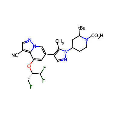 Cc1c(-c2cc(O[C@@H](CF)C(F)F)c3c(C#N)cnn3c2)cnn1C1CCN(C(=O)O)C(C(C)(C)C)C1